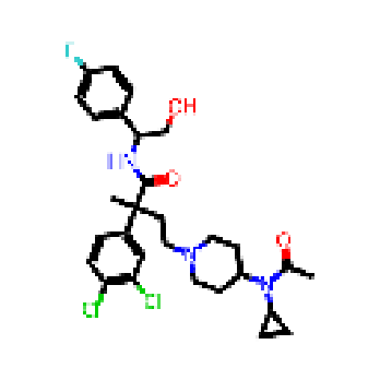 CC(=O)N(C1CC1)C1CCN(CCC(C)(C(=O)NC(CO)c2ccc(F)cc2)c2ccc(Cl)c(Cl)c2)CC1